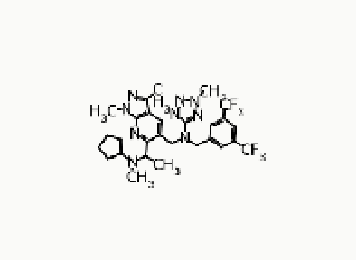 Cc1nn(C)c2nc(C(C)N(C)C3CCCC3)c(CN(Cc3cc(C(F)(F)F)cc(C(F)(F)F)c3)c3nnn(C)n3)cc12